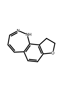 C1=Cc2ccc3c(c2NN=C1)CCO3